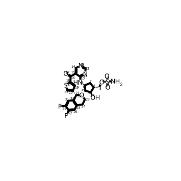 NS(=O)(=O)OC[C@H]1C[C@@H](Nc2ncncc2C(=O)c2cc([C@@H]3OCCc4cc(F)c(F)cc43)cs2)C[C@@H]1O